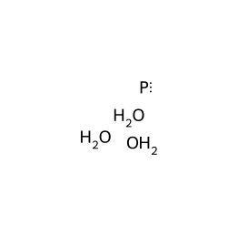 O.O.O.[P]